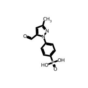 Cc1cc(C=O)n(-c2ccc(P(=O)(O)O)cc2)n1